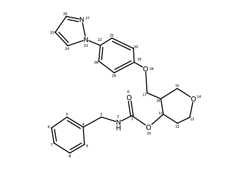 O=C(NCc1ccccc1)OC1CCOCC1COc1ccc(-n2cccn2)cc1